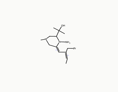 C/C=C(\C=C1\CN(C)CC(C(C)(C)O)N1N)CC(C)C